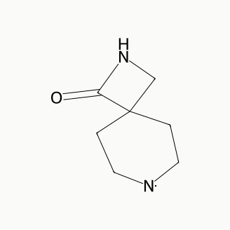 O=C1NCC12CC[N]CC2